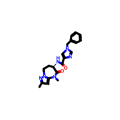 Cc1cc2n(n1)CC[C@H](NC(=O)c1cn(Cc3ccccc3)cn1)C(=O)N2C